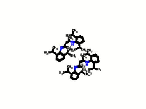 C/C(=C/C(C)=N/c1c(C(C)C)cccc1C(C)C)Nc1c(C(C)C)cccc1C(C)C.C/C(=C/C(C)=N/c1c(C(C)C)cccc1C(C)C)Nc1c(C(C)C)cccc1C(C)C